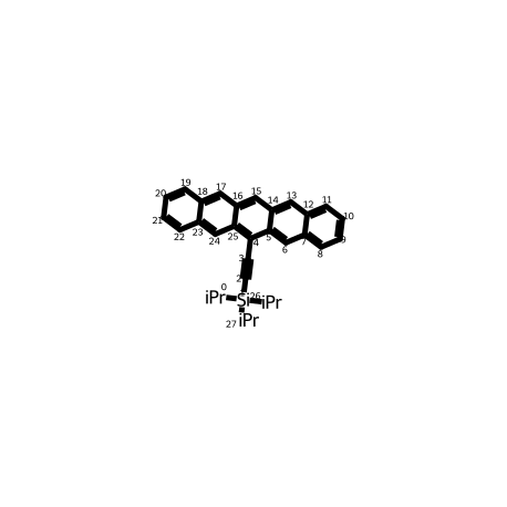 CC(C)[Si](C#Cc1c2cc3ccccc3cc2cc2cc3ccccc3cc12)(C(C)C)C(C)C